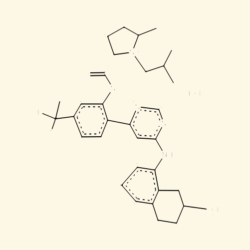 CC(C)CN1C(C)CC[C@H]1C(=O)Nc1cc(C(F)(F)F)ccc1-c1cc(Nc2cccc3c2CC(O)CC3)ncn1.Cl